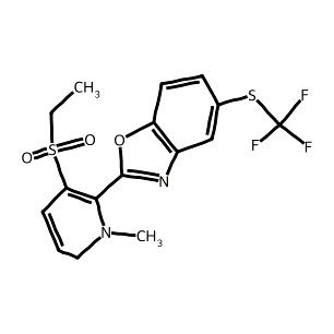 CCS(=O)(=O)C1=C(c2nc3cc(SC(F)(F)F)ccc3o2)N(C)CC=C1